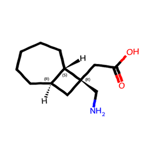 NC[C@@]1(CC(=O)O)C[C@H]2CCCCC[C@@H]21